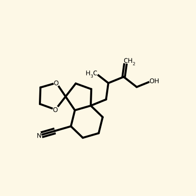 C=C(CO)C(C)CC12CCCC(C#N)C1C1(CC2)OCCO1